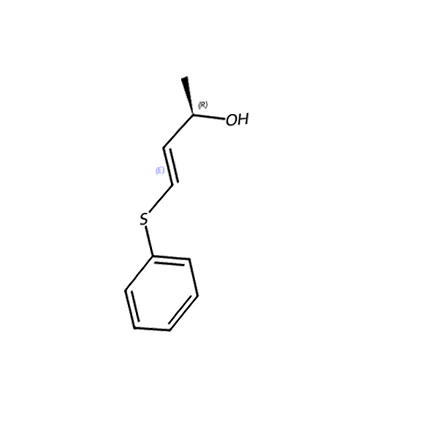 C[C@@H](O)/C=C/Sc1ccccc1